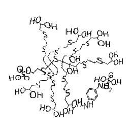 CNc1ccc(N)cc1.O=S(=O)(O)O.O=S(=O)(O)OCCSC(CCSCCSCC(O)O)(CCSCCSCC(O)O)C(CCSCCSCC(O)O)(CCSCCSCC(O)O)SC(CCSCCSCC(O)O)(CCSCCSCC(O)O)C(O)(O)CCSCCSCC(O)O